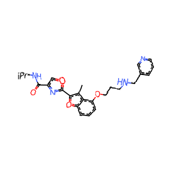 Cc1c(-c2nc(C(=O)NC(C)C)co2)oc2cccc(OCCCNCc3cccnc3)c12